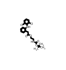 CC(C)(C)OC(=O)NCCOC(=O)Cc1ccccc1Nc1c(Cl)cccc1Cl